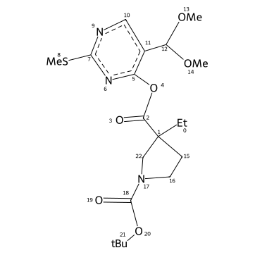 CCC1(C(=O)Oc2nc(SC)ncc2C(OC)OC)CCN(C(=O)OC(C)(C)C)C1